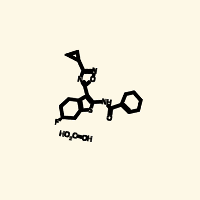 O=C(Nc1sc2c(c1-c1nc(C3CC3)no1)CC[C@H](F)C2)C1=CCCCC1.O=C(O)O